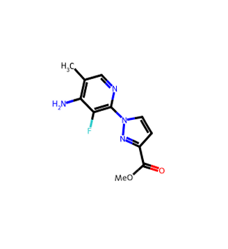 COC(=O)c1ccn(-c2ncc(C)c(N)c2F)n1